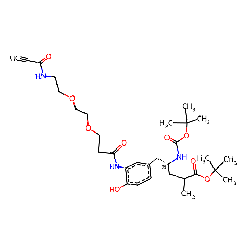 C#CC(=O)NCCOCCOCCC(=O)Nc1cc(C[C@@H](CC(C)C(=O)OC(C)(C)C)NC(=O)OC(C)(C)C)ccc1O